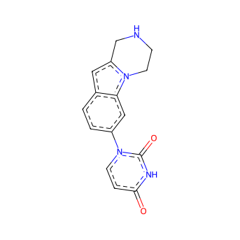 O=c1ccn(-c2ccc3cc4n(c3c2)CCNC4)c(=O)[nH]1